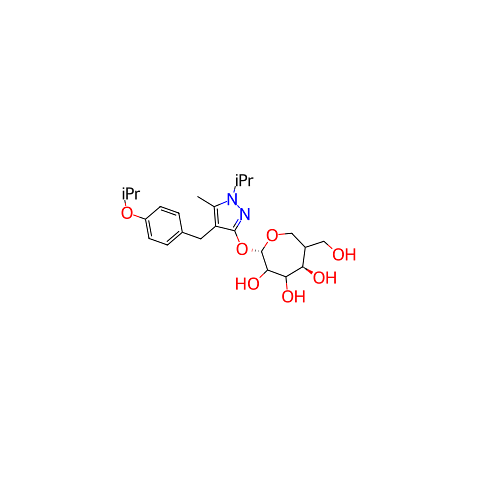 Cc1c(Cc2ccc(OC(C)C)cc2)c(O[C@@H]2OCC(CO)[C@@H](O)C(O)C2O)nn1C(C)C